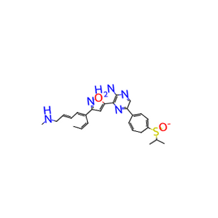 C\C=C/C(=C\C=C\CNC)c1cc(-c2nc(C3=CC=C([S+]([O-])C(C)C)CC=C3)cnc2N)on1